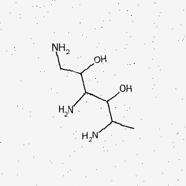 CC(N)C(O)C(N)C(O)CN